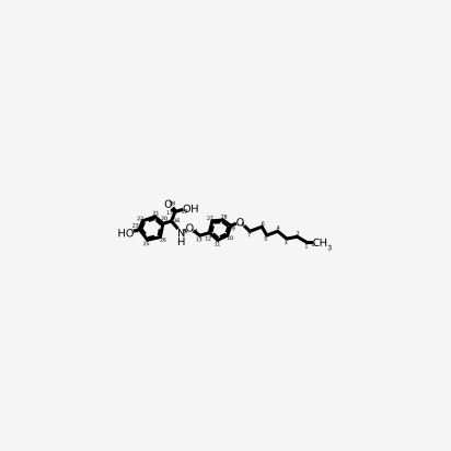 CCCCCCCCOc1ccc(CONC(C(=O)O)c2ccc(O)cc2)cc1